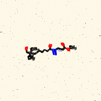 COC(=O)/C=C/NC(=O)CCCCCC(C)(C)C=O